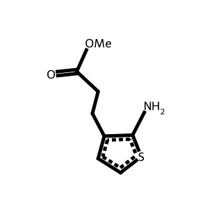 COC(=O)CCc1ccsc1N